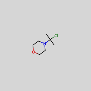 CC(C)(Cl)N1CCOCC1